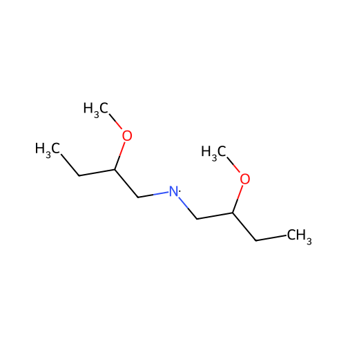 CCC(C[N]CC(CC)OC)OC